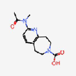 CC(=O)N(C)c1ccc2c(n1)CCN(C(=O)O)CC2